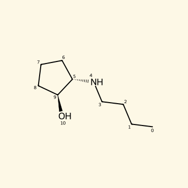 CCCCN[C@H]1CCC[C@@H]1O